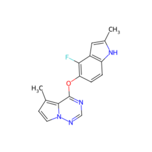 Cc1cc2c(F)c(Oc3ncnn4ccc(C)c34)ccc2[nH]1